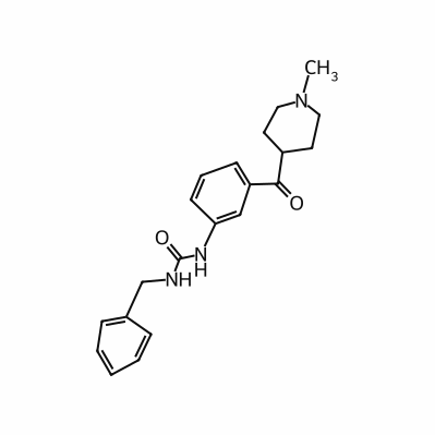 CN1CCC(C(=O)c2cccc(NC(=O)NCc3ccccc3)c2)CC1